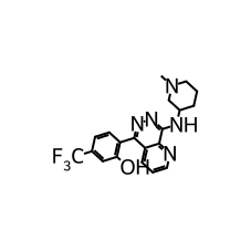 CN1CCCC(Nc2nnc(-c3ccc(C(F)(F)F)cc3O)c3cccnc23)C1